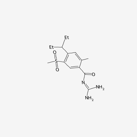 CCC(CC)c1cc(C)c(C(=O)N=C(N)N)cc1S(C)(=O)=O